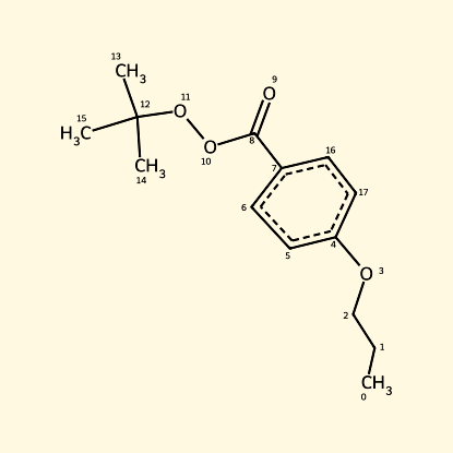 CCCOc1ccc(C(=O)OOC(C)(C)C)cc1